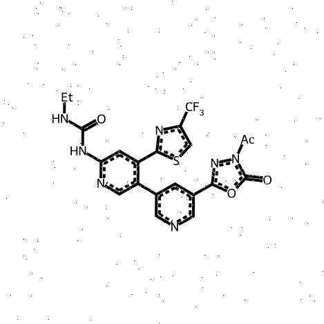 CCNC(=O)Nc1cc(-c2nc(C(F)(F)F)cs2)c(-c2cncc(-c3nn(C(C)=O)c(=O)o3)c2)cn1